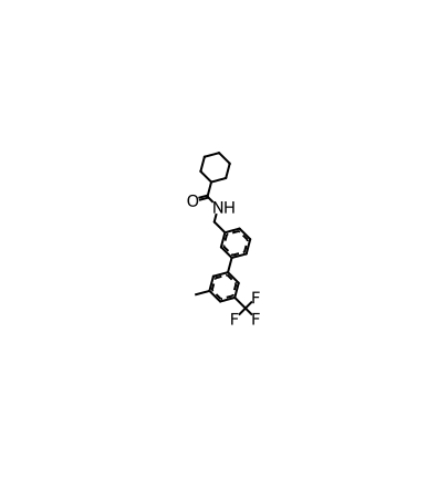 Cc1cc(-c2cccc(CNC(=O)C3CCCCC3)c2)cc(C(F)(F)F)c1